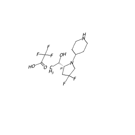 CC(O)[C@H]1CC(F)(F)CN1C1CCNCC1.O=C(O)C(F)(F)F